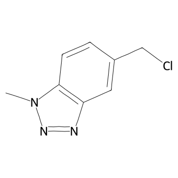 Cn1nnc2cc(CCl)ccc21